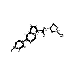 Cc1ccc(-c2ccn3c(C(=O)N[C@@H]4CCN(C#N)C4)cnc3c2)cn1